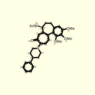 COc1cc2c(c(OC)c1OC)-c1ccc(N3CCC(c4ccccc4)CC3)c(=O)cc1[C@@H](NC(C)=O)CC2